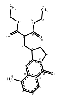 CCOC(=O)C(CC1CCn2c1nc1c(C)cccc1c2=O)C(=O)OCC